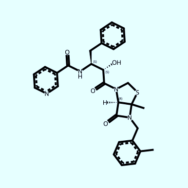 Cc1ccccc1CN1C(=O)[C@H]2N(C(=O)[C@@H](O)[C@H](Cc3ccccc3)NC(=O)c3cccnc3)CSC21C